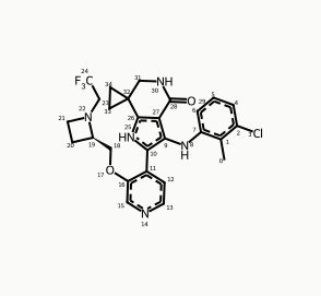 Cc1c(Cl)cccc1Nc1c(-c2ccncc2OC[C@H]2CCN2CC(F)(F)F)[nH]c2c1C(=O)NCC21CC1